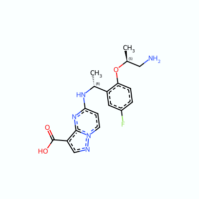 C[C@@H](CN)Oc1ccc(F)cc1[C@@H](C)Nc1ccn2ncc(C(=O)O)c2n1